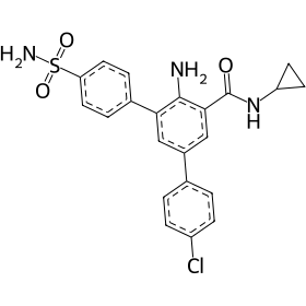 Nc1c(C(=O)NC2CC2)cc(-c2ccc(Cl)cc2)cc1-c1ccc(S(N)(=O)=O)cc1